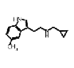 Cc1ccc2[nH]cc(CCNCC3CC3)c2c1